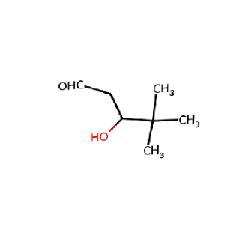 CC(C)(C)C(O)CC=O